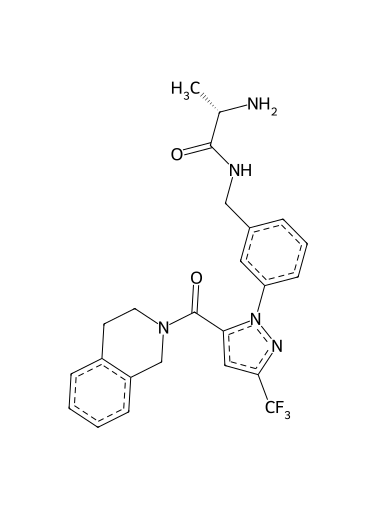 C[C@H](N)C(=O)NCc1cccc(-n2nc(C(F)(F)F)cc2C(=O)N2CCc3ccccc3C2)c1